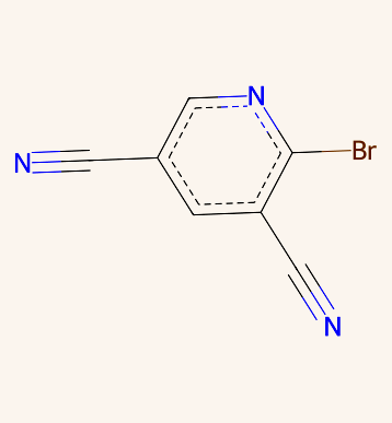 N#Cc1cnc(Br)c(C#N)c1